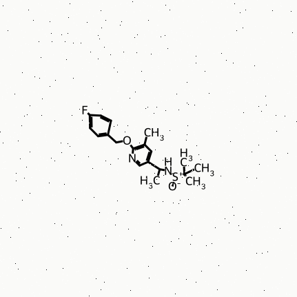 Cc1cc(C(C)N[S@+]([O-])C(C)(C)C)cnc1OCc1ccc(F)cc1